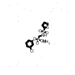 N.O=P(O)(CNS(=O)(=O)c1cccs1)Oc1cccc(Cl)c1